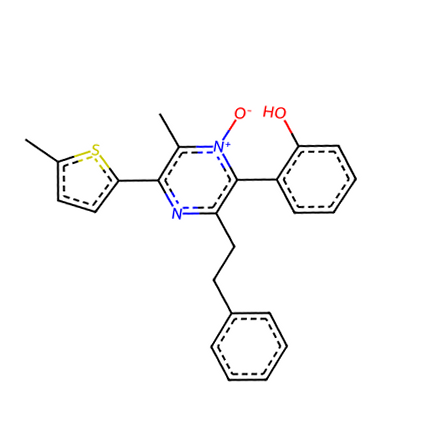 Cc1ccc(-c2nc(CCc3ccccc3)c(-c3ccccc3O)[n+]([O-])c2C)s1